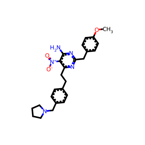 COc1ccc(Cc2nc(N)c([N+](=O)[O-])c(CCc3ccc(CN4CCCC4)cc3)n2)cc1